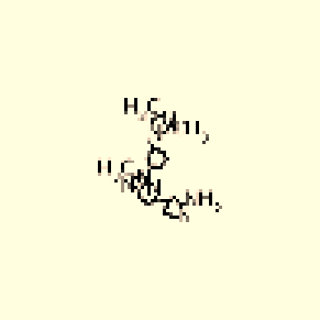 Cc1nc2ccc(-c3ccnc(N)c3)nc2n1-c1cccc(CN2C[C@H](C)O[C@@H](C)C2)c1